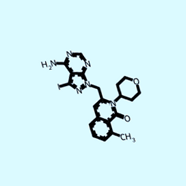 Cc1cccc2cc(Cn3nc(I)c4c(N)ncnc43)n(C3CCOCC3)c(=O)c12